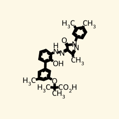 CC1=NN(c2ccc(C)c(C)c2)C(=O)C1=NNc1cccc(-c2cc(C)cc(OC(C)(C)C(=O)O)c2)c1O